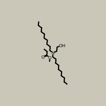 CCC(=O)OC.CCCCCCCCCCN(CCO)CCCCCCCCCC